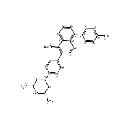 COc1c(-c2ccc(N3C[C@@H](C)O[C@@H](C)C3)nc2)cnc2c(-c3ccc(C#N)cc3)cccc12